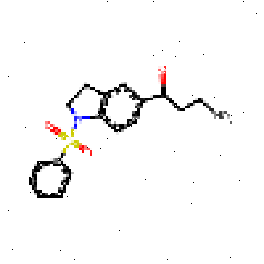 O=C(CC[N+](=O)[O-])c1ccc2c(c1)CCN2S(=O)(=O)c1ccccc1